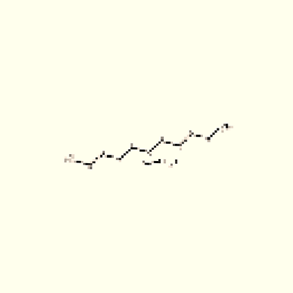 CC(=O)O.CCCCCCCCCCCCCCCCCCS